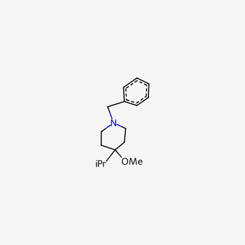 COC1(C(C)C)CCN(Cc2ccccc2)CC1